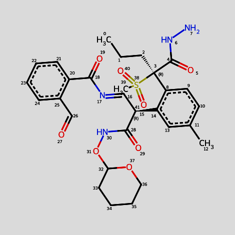 CCC[C@](C(=O)NN)(c1ccc(C)cc1[C@H](C=NC(=O)c1ccccc1C=O)C(=O)NOC1CCCCO1)S(C)(=O)=O